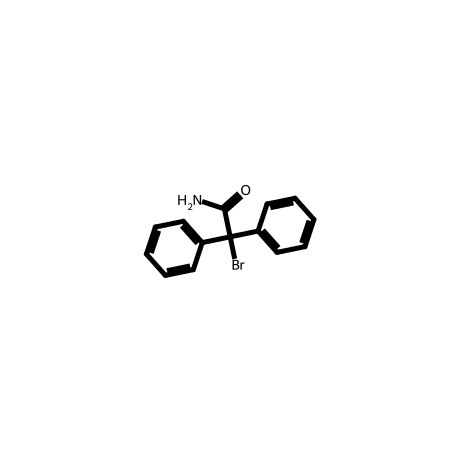 NC(=O)C(Br)(c1ccccc1)c1ccccc1